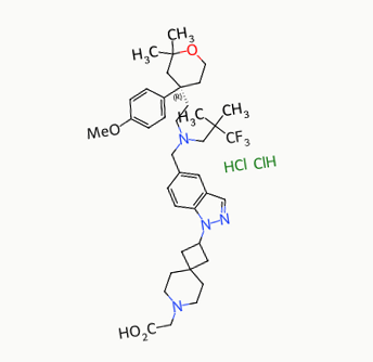 COc1ccc([C@]2(CCN(Cc3ccc4c(cnn4C4CC5(CCN(CC(=O)O)CC5)C4)c3)CC(C)(C)C(F)(F)F)CCOC(C)(C)C2)cc1.Cl.Cl